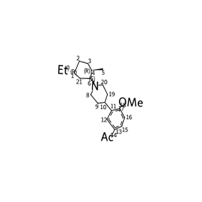 CC[C@@H]1CC[C@@H](C)[C@@H](N2CCC(c3cc(C(C)=O)ccc3OC)CC2)C1